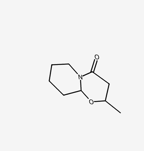 CC1CC(=O)N2CCCCC2O1